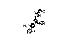 Cc1cc(-n2cc(CNC(=O)c3ccc(Cl)s3)nc2Cn2ccnc2)ccc1N1CCOCC1=O